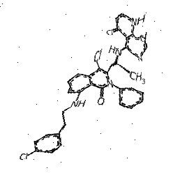 C[C@H](Nc1ncnc2[nH]ccc(=O)c12)c1c(Cl)c2cccc(NCCc3ccc(Cl)cc3)c2c(=O)n1-c1ccccc1